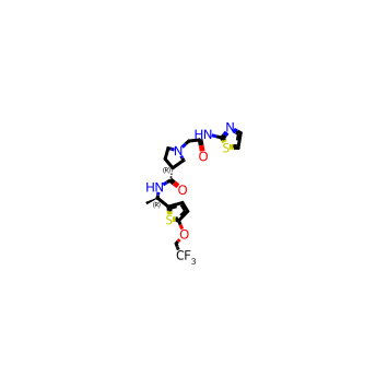 C[C@@H](NC(=O)[C@@H]1CCN(CC(=O)Nc2nccs2)C1)c1ccc(OCC(F)(F)F)s1